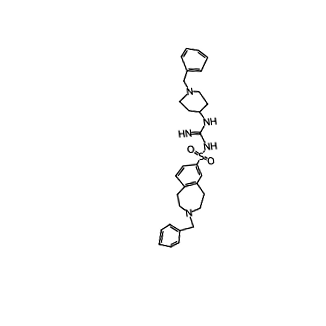 N=C(NC1CCN(Cc2ccccc2)CC1)NS(=O)(=O)c1ccc2c(c1)CCN(Cc1ccccc1)CC2